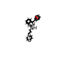 c1ccc2c(N3CC4CCC(CC4)C3)nc(NCCCN3CCOCC3)nc2c1